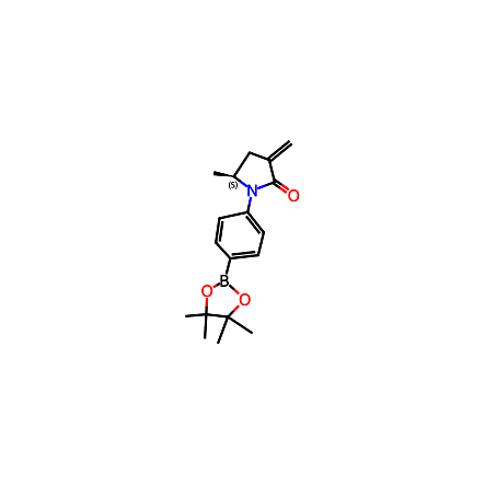 C=C1C[C@H](C)N(c2ccc(B3OC(C)(C)C(C)(C)O3)cc2)C1=O